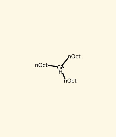 CCCCCCC[CH2][GeH]([CH2]CCCCCCC)[CH2]CCCCCCC